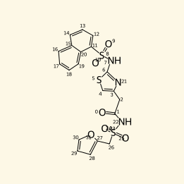 O=C(Cc1csc(NS(=O)(=O)c2cccc3ccccc23)n1)NS(=O)(=O)Cc1ccco1